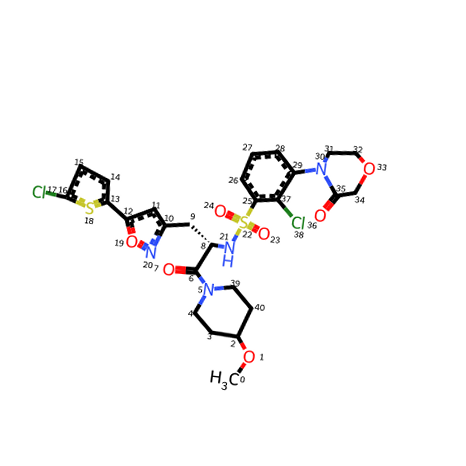 COC1CCN(C(=O)[C@H](Cc2cc(-c3ccc(Cl)s3)on2)NS(=O)(=O)c2cccc(N3CCOCC3=O)c2Cl)CC1